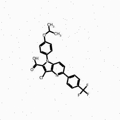 CC(C)Oc1ccc(-n2c(C(=O)O)c(Cl)c3nc(-c4ccc(C(F)(F)F)cc4)ccc32)cc1